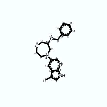 Ic1c[nH]c2ncc(N3CCOCC(OCc4ccccc4)C3)cc12